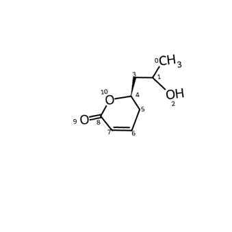 CC(O)C[C@H]1CC=CC(=O)O1